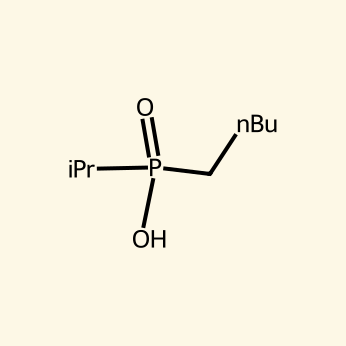 CCCCCP(=O)(O)C(C)C